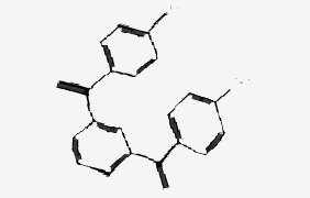 C=C(c1ccc(O)cc1)c1cccc(C(=C)c2ccc(O)cc2)c1